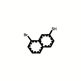 Sc1ccc2cccc(Br)c2c1